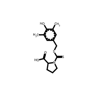 Cc1cc(CSC(=S)N2CCCC2C(=O)O)cc(C)c1O